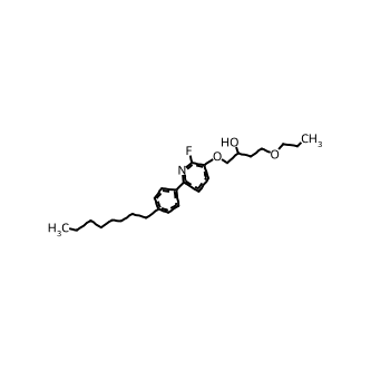 CCCCCCCCc1ccc(-c2ccc(OCC(O)CCOCCC)c(F)n2)cc1